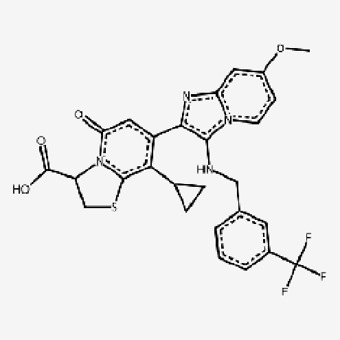 COc1ccn2c(NCc3cccc(C(F)(F)F)c3)c(-c3cc(=O)n4c(c3C3CC3)SCC4C(=O)O)nc2c1